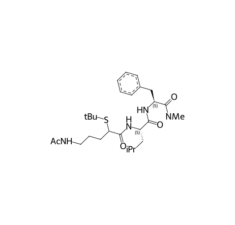 CNC(=O)[C@H](Cc1ccccc1)NC(=O)[C@H](CC(C)C)NC(=O)C(CCCNC(C)=O)SC(C)(C)C